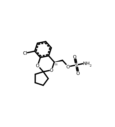 NS(=O)(=O)OC[C@H]1OC2(CCCC2)Oc2c(Cl)cccc21